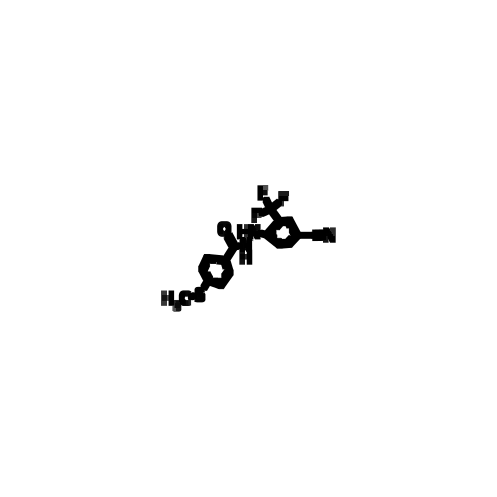 CSc1ccc(C(=O)NNc2ccc(C#N)cc2C(F)(F)F)cc1